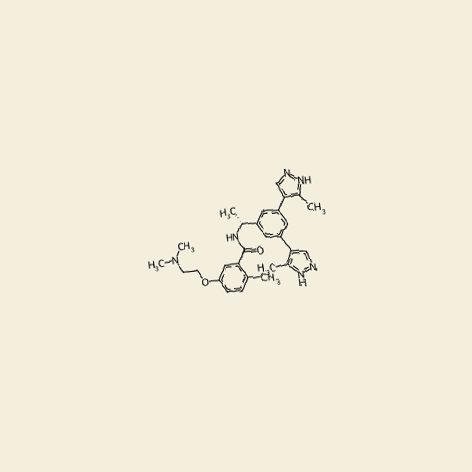 Cc1ccc(OCCN(C)C)cc1C(=O)N[C@H](C)c1cc(-c2cn[nH]c2C)cc(-c2cn[nH]c2C)c1